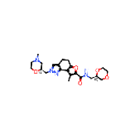 Cc1c(C(=O)NC[C@@H]2COCCO2)oc2c1-c1nn(C[C@@H]3CN(C)CCO3)cc1CC2